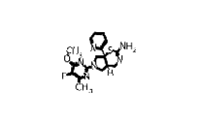 COc1nc(N2C[C@@H]3CN=C(N)S[C@@]3(c3ccccn3)C2)nc(C)c1F